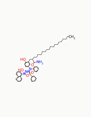 CCCCCCCCCCCCCCCCCCC(Cc1cc(N(c2ccccc2)N(N=Nc2c(O)ccc3ccccc23)S(=O)(=O)c2ccccc2)ccc1O)C(N)=O